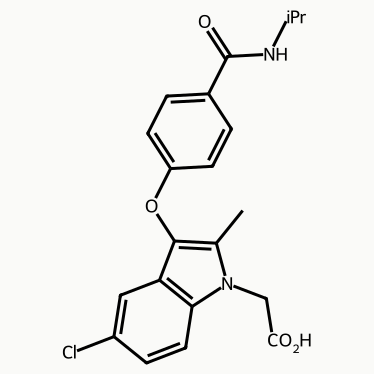 Cc1c(Oc2ccc(C(=O)NC(C)C)cc2)c2cc(Cl)ccc2n1CC(=O)O